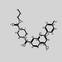 CCCOC(=O)N1CCN(C(=O)c2ccc3c(Cl)cc(-c4ccc(C)cc4)nc3c2)CC1